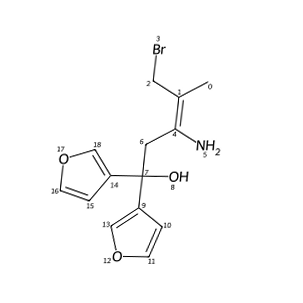 C/C(CBr)=C(\N)CC(O)(c1ccoc1)c1ccoc1